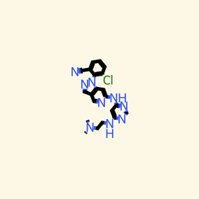 CN(C)CCNc1cc(Nc2cc3c(cn2)cnn3-c2c(Cl)cccc2C#N)ncn1